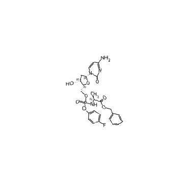 C[C@H](NP(=O)(OC[C@H]1O[C@@H](n2ccc(N)nc2=O)C[C@H]1O)Oc1ccc(F)cc1)C(=O)OCc1ccccc1